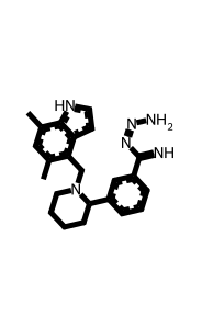 Cc1cc(C)c2[nH]ccc2c1CN1CCCCC1c1cccc(C(=N)/N=N\N)c1